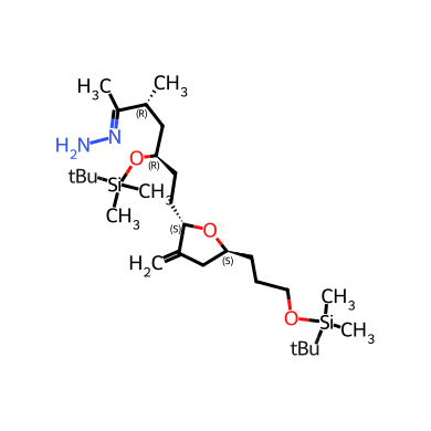 C=C1C[C@H](CCCO[Si](C)(C)C(C)(C)C)O[C@H]1CC[C@H](C[C@@H](C)C(C)=NN)O[Si](C)(C)C(C)(C)C